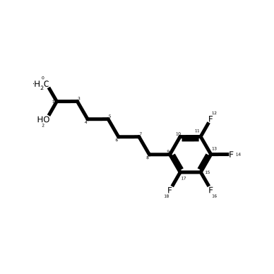 [CH2]C(O)CCCCCCc1cc(F)c(F)c(F)c1F